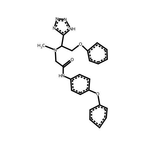 CN(CC(=O)Nc1ccc(Oc2ccccc2)cc1)C(COc1ccccc1)c1nnn[nH]1